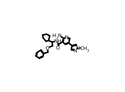 Cn1cc(-c2cnc(N)c(C(=O)NC(COCc3ccccc3)C3CCCCC3)c2)cn1